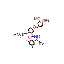 CCOc1ccc(COc2ccc(CCC(=O)O)c(C(=O)NC(CC(C)C)c3cc(C)cc(C)c3)c2)cc1OCC